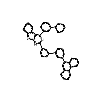 c1ccc(-c2cccc(-c3nc(-c4cccc(-c5cccc(-c6cc7ccccc7c7ccccc67)c5)c4)nc4sc5ccccc5c34)c2)cc1